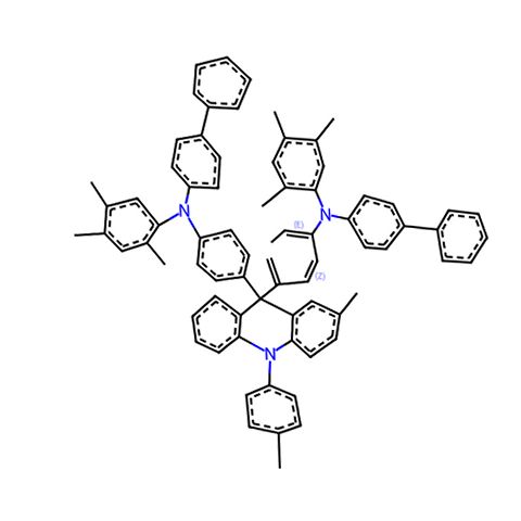 C=C(/C=C\C(=C/C)N(c1ccc(-c2ccccc2)cc1)c1cc(C)c(C)cc1C)C1(c2ccc(N(c3ccc(-c4ccccc4)cc3)c3cc(C)c(C)cc3C)cc2)c2ccccc2N(c2ccc(C)cc2)c2ccc(C)cc21